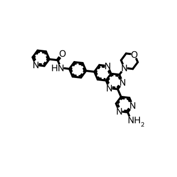 Nc1ncc(-c2nc(N3CCOCC3)c3ncc(-c4ccc(NC(=O)c5cccnc5)cc4)cc3n2)cn1